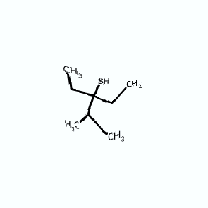 [CH2]CC(S)(CC)C(C)C